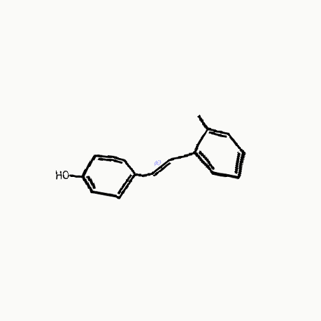 Cc1ccccc1/C=C/c1ccc(O)cc1